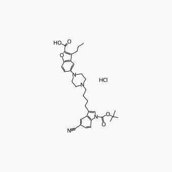 CCCc1c(C(=O)O)oc2ccc(N3CCN(CCCCc4cn(C(=O)OC(C)(C)C)c5ccc(C#N)cc45)CC3)cc12.Cl